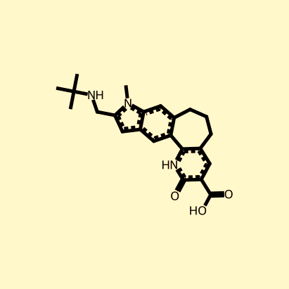 Cn1c(CNC(C)(C)C)cc2cc3c(cc21)CCCc1cc(C(=O)O)c(=O)[nH]c1-3